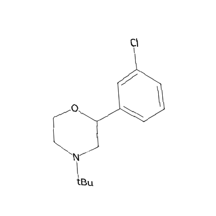 CC(C)(C)N1CCOC(c2cccc(Cl)c2)C1